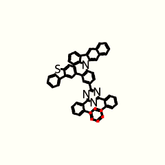 c1ccc(-c2ccccc2-c2nc(-c3ccc(-n4c5ccccc5c5cc6ccccc6cc54)c(-c4ccc5sc6ccccc6c5c4)c3)nc(-c3ccccc3-c3ccccc3)n2)cc1